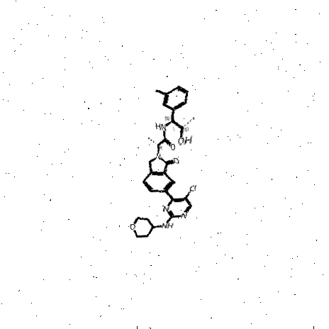 Cc1cccc([C@H](NC(=O)[C@@H](C)N2Cc3ccc(-c4nc(NC5CCOCC5)ncc4Cl)cc3C2=O)[C@H](C)O)c1